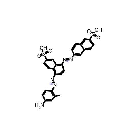 Cc1cc(N)ccc1/N=N/c1ccc(/N=N/c2ccc3cc(S(=O)(=O)O)ccc3c2)c2cc(S(=O)(=O)O)ccc12